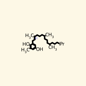 C/C(=C\Cc1cc(O)cc(C)c1O)CCCC(C)CCCC(C)CCCC(C)C